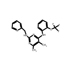 Cc1nc(NCc2ccccn2)nc(Nc2ccccc2OC(F)(F)F)c1C